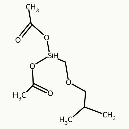 CC(=O)O[SiH](COCC(C)C)OC(C)=O